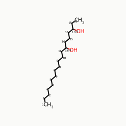 CCCCCCCCCCCCC(O)CCCC(O)CC